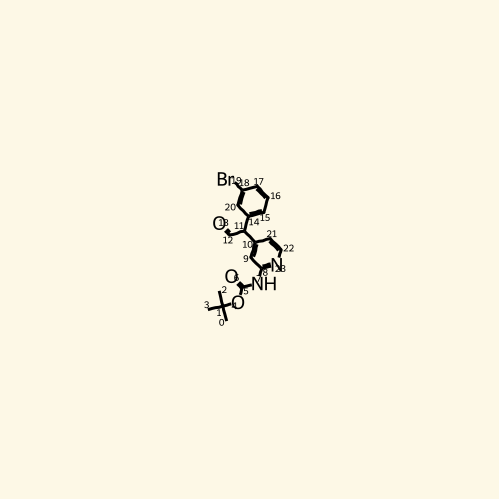 CC(C)(C)OC(=O)Nc1cc(C(C=O)c2cccc(Br)c2)ccn1